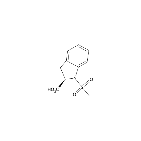 CS(=O)(=O)N1c2ccccc2C[C@@H]1C(=O)O